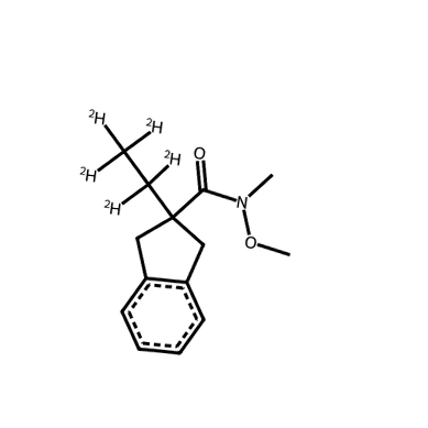 [2H]C([2H])([2H])C([2H])([2H])C1(C(=O)N(C)OC)Cc2ccccc2C1